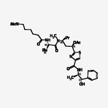 CC[C@H](C)[C@H](NC(=O)CCCCCNC)C(=O)N(C)[C@H](C[C@@H](OC(C)=O)c1nc(C(=O)N[C@H](C)[C@@H](O)c2ccccc2)cs1)C(C)C